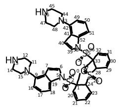 CC1(S(=O)(=O)n2ccc3c(N4CCNCC4)cccc32)C=CC=CC1S(=O)(=O)C1C=CC=CC1(C)S(=O)(=O)n1ccc2c(N3CCNCC3)cccc21